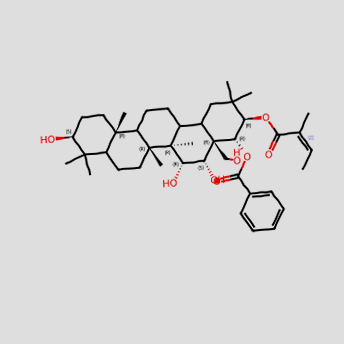 C/C=C(/C)C(=O)O[C@H]1[C@H](OC(=O)c2ccccc2)[C@@]2(CO)C(CC1(C)C)C1CCC3[C@@]4(C)CC[C@H](O)C(C)(C)C4CC[C@@]3(C)[C@]1(C)[C@@H](O)[C@H]2O